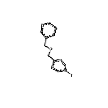 Fc1ccc(COCc2ccccc2)cc1